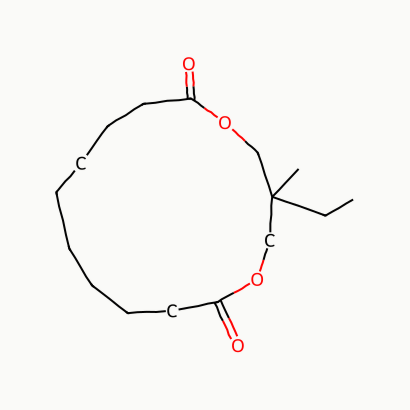 CCC1(C)COC(=O)CCCCCCCCC(=O)OC1